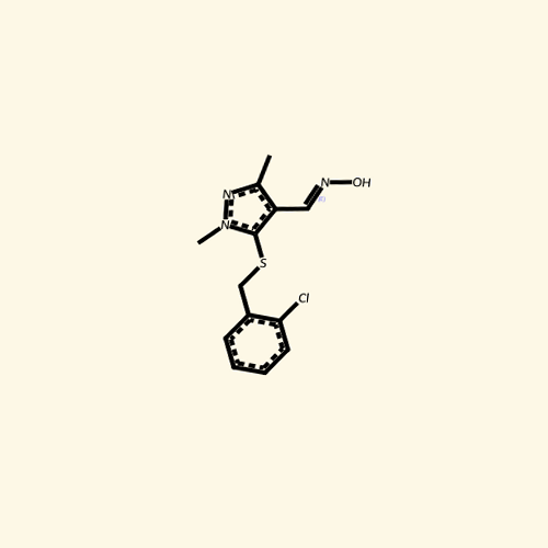 Cc1nn(C)c(SCc2ccccc2Cl)c1/C=N/O